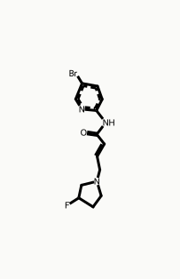 O=C(/C=C/CN1CCC(F)C1)Nc1ccc(Br)cn1